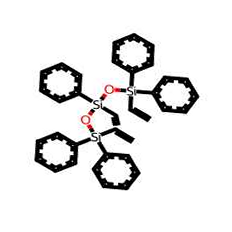 C=C[Si](O[Si](C=C)(c1ccccc1)c1ccccc1)(O[Si](C=C)(c1ccccc1)c1ccccc1)c1ccccc1